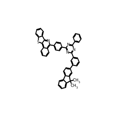 CC1(C)c2ccccc2-c2ccc(-c3cccc(-c4nc(-c5ccccc5)nc(-c5ccc(-c6nc7c8ccccc8sc7c7ccccc67)cc5)n4)c3)cc21